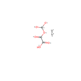 O=C(O)C(=O)OB([O-])[O-].[Li+].[Li+]